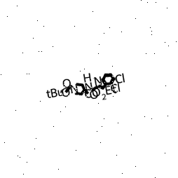 CCOC(=O)C1(NC(=O)c2cc3c(Cl)c(Cl)ccc3n2C)CCN(C(=O)OC(C)(C)C)CC1